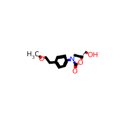 COCCc1ccc(N2C[C@H](CO)OC2=O)cc1